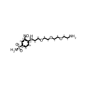 NCCOCCOCCOCCNc1ccc(S(N)(=O)=O)cc1[N+](=O)[O-]